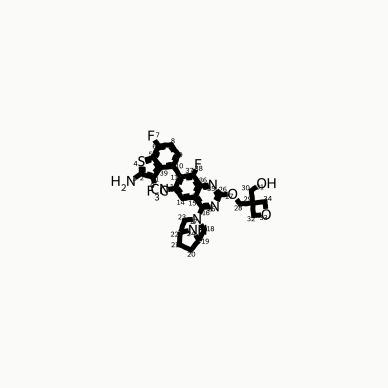 N#Cc1c(N)sc2c(F)ccc(-c3c(C(F)(F)F)cc4c(N5CC6CCC(C5)N6)nc(OCC5(CO)COC5)nc4c3F)c12